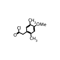 COc1cc(C)c(CC(=O)Cl)cc1C